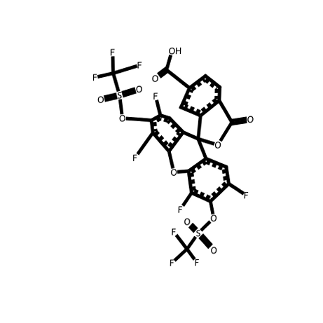 O=C(O)c1ccc2c(c1)C1(OC2=O)c2cc(F)c(OS(=O)(=O)C(F)(F)F)c(F)c2Oc2c1cc(F)c(OS(=O)(=O)C(F)(F)F)c2F